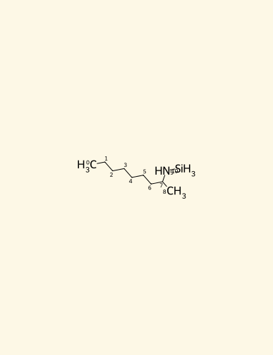 CCCCCCCC(C)N[SiH3]